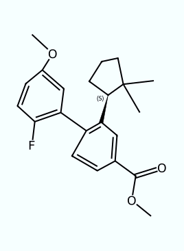 COC(=O)c1ccc(-c2cc(OC)ccc2F)c([C@H]2CCCC2(C)C)c1